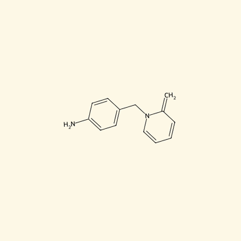 C=C1C=CC=CN1Cc1ccc(N)cc1